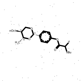 CCCCCCCC[C@H]1CO[C@H](c2ccc(OC(=O)C(F)CCCC)cc2)O[C@@H]1C